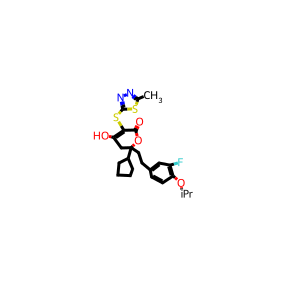 Cc1nnc(SC2=C(O)CC(CCc3ccc(OC(C)C)c(F)c3)(C3CCCC3)OC2=O)s1